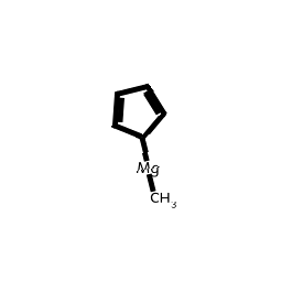 [CH3][Mg][CH]1C=CC=C1